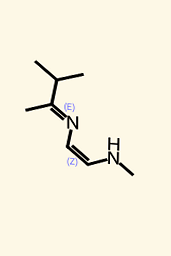 CN/C=C\N=C(/C)C(C)C